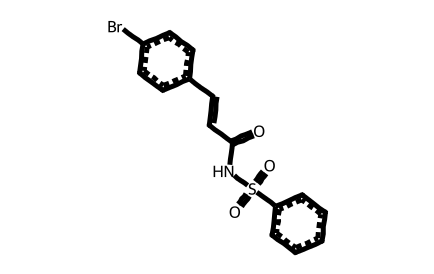 O=C(C=Cc1ccc(Br)cc1)NS(=O)(=O)c1ccccc1